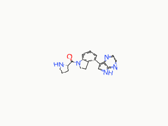 O=C(C1CCCN1)N1CCc2c(-c3c[nH]c4nccnc34)cccc21